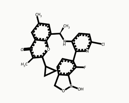 Cc1cc([C@@H](C)Nc2ccc(Cl)nc2-c2ccc3c(c2F)B(O)OC3)c2oc(C3CC3)c(C)c(=O)c2c1